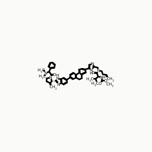 C=CCCN(Cc1ncc(-c2ccc3c(c2)CCc2cc(-c4ccc5nc([C@@H]6C(=C)CCN6C(=O)C(c6ccccc6)N(C)C)[nH]c5c4)ccc2-3)[nH]1)C(=O)C(NC(=O)OC)C(C)C